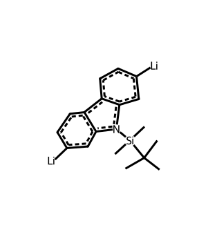 [Li][c]1ccc2c3cc[c]([Li])cc3n([Si](C)(C)C(C)(C)C)c2c1